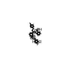 Cc1ccc(CCC(CNc2ccccc2C(=O)O)c2cccc(S(=O)(=O)NCc3ccc(F)c(Cl)c3)c2)cc1